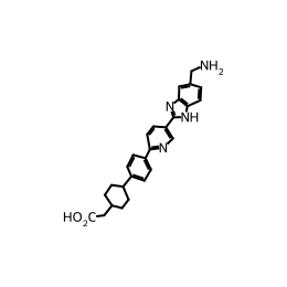 NCc1ccc2[nH]c(-c3ccc(-c4ccc(C5CCC(CC(=O)O)CC5)cc4)nc3)nc2c1